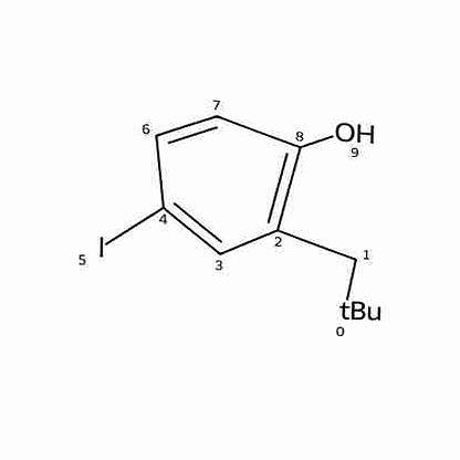 CC(C)(C)Cc1cc(I)ccc1O